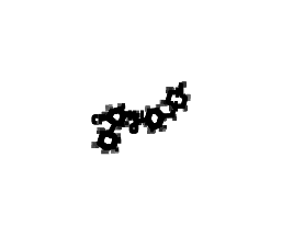 CN1CCN(Cc2ccc(C(=O)Nc3ccc(Cl)c(-c4ccccn4)c3)cc2)CC1